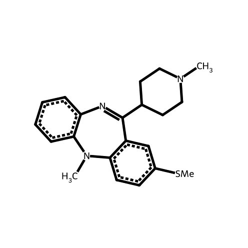 CSc1ccc2c(c1)C(C1CCN(C)CC1)=Nc1ccccc1N2C